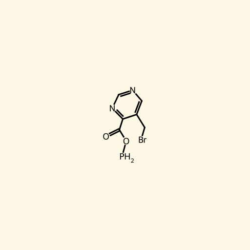 O=C(OP)c1ncncc1CBr